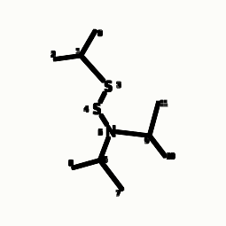 CC(C)SSN(C(C)C)C(C)C